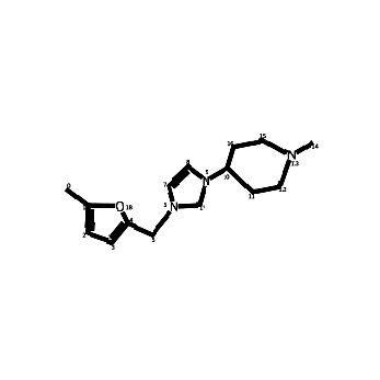 Cc1ccc(CN2C=CN(C3CCN(C)CC3)C2)o1